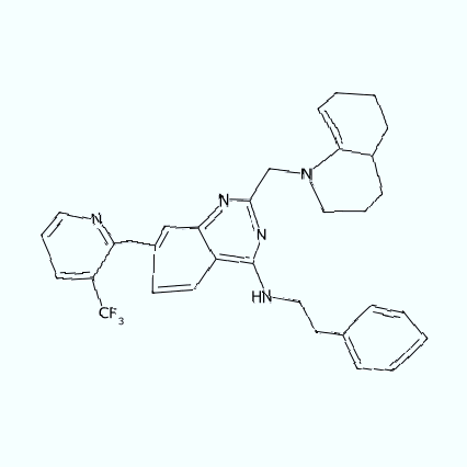 FC(F)(F)c1cccnc1-c1ccc2c(NCCc3ccccc3)nc(CN3CCCC4CCCC=C43)nc2c1